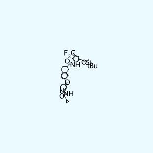 CC(C)(C)[Si](C)(C)OCc1cc(NC(=O)C2CCc3ccc(Oc4ccnc(NC(=O)C5CC5)c4)cc3C2)cc(C(F)(F)F)c1